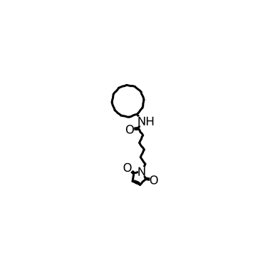 O=C(CCCCCN1C(=O)C=CC1=O)NC1CCCCCCCCCCC1